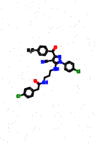 Cc1ccc(C(=O)c2nn(-c3ccc(Cl)cc3)c(NCCCNC(=O)Cc3ccc(Cl)cc3)c2C#N)cc1